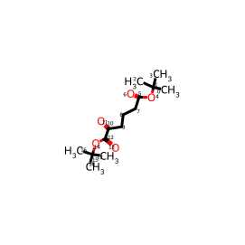 CC(C)(C)OC(=O)CCCC(=O)C(=O)OC(C)(C)C